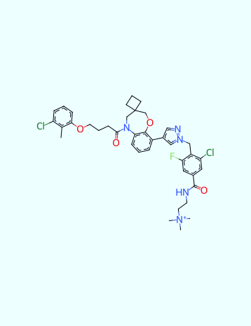 Cc1c(Cl)cccc1OCCCC(=O)N1CC2(CCC2)COc2c(-c3cnn(Cc4c(F)cc(C(=O)NCC[N+](C)(C)C)cc4Cl)c3)cccc21